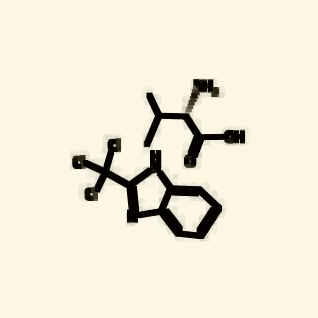 CC(C)[C@H](N)C(=O)O.ClC(Cl)(Cl)c1nc2ccccc2[nH]1